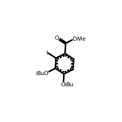 COC(=O)c1ccc(OCC(C)C)c(OCC(C)C)c1I